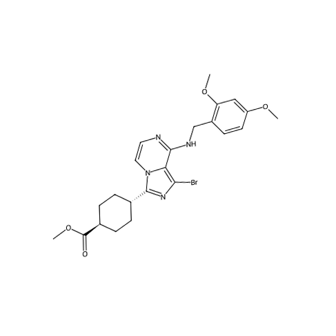 COc1ccc(CNc2nccn3c2c(Br)nc3[C@H]2CC[C@H](C(=O)OC)CC2)c(OC)c1